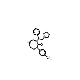 O=C1C(c2ccc(C(F)(F)F)cc2)OC/C=C\CN1C(CN1CCCC1)c1ccccc1